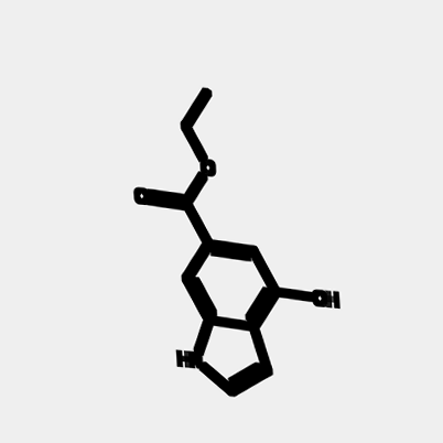 CCOC(=O)c1cc(O)c2cc[nH]c2c1